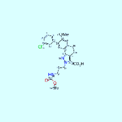 COc1cc2c(cc1-c1cccc(Cl)c1)-c1nn(CCCNC(=O)OC(C)(C)C)c(C(=O)O)c1CC2